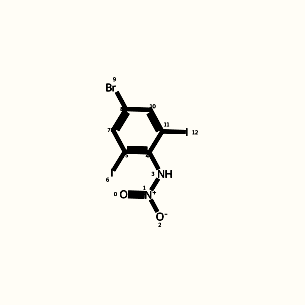 O=[N+]([O-])Nc1c(I)cc(Br)cc1I